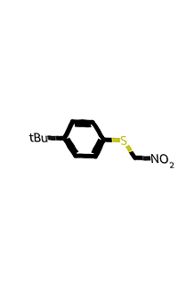 CC(C)(C)c1ccc(SC[N+](=O)[O-])cc1